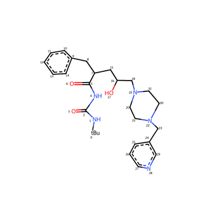 CC(C)(C)NC(=O)NC(=O)C(Cc1ccccc1)CC(O)CN1CCN(Cc2cccnc2)CC1